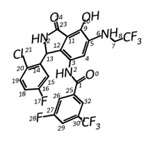 O=C(Nc1cc(NCC(F)(F)F)c(O)c2c1C(c1cc(F)ccc1Cl)NC2=O)c1cc(F)cc(C(F)(F)F)c1